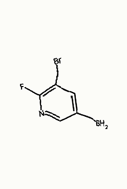 Bc1cnc(F)c(Br)c1